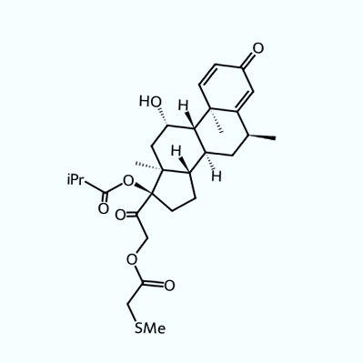 CSCC(=O)OCC(=O)[C@@]1(OC(=O)C(C)C)CC[C@H]2[C@@H]3C[C@H](C)C4=CC(=O)C=C[C@]4(C)[C@H]3[C@@H](O)C[C@@]21C